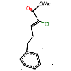 COC(=O)C(Cl)=CCCc1ccccc1